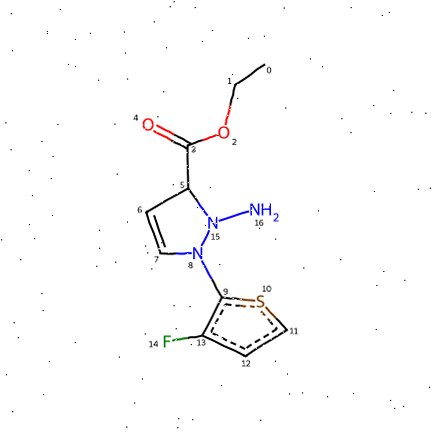 CCOC(=O)C1C=CN(c2sccc2F)N1N